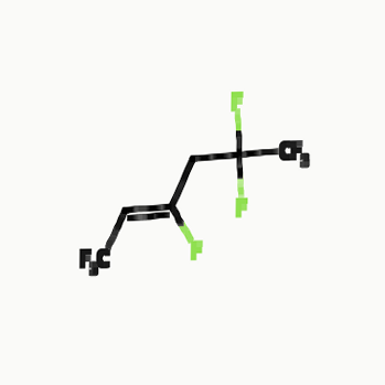 FC(=CC(F)(F)F)CC(F)(F)C(F)(F)F